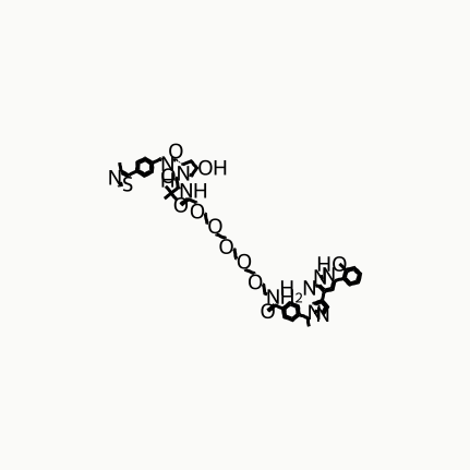 Cc1ncsc1-c1ccc(CNC(=O)[C@@H]2C[C@@H](O)CN2C(=O)[C@@H](NC(=O)COCCOCCOCCOCCOCCNC(=O)c2ccc(C(C)n3cc(-c4cc(-c5ccccc5O)nnc4N)cn3)cc2)C(C)(C)C)cc1